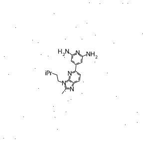 Cc1nc2ccc(-c3cc(N)nc(N)c3)nc2n1CCC(C)C